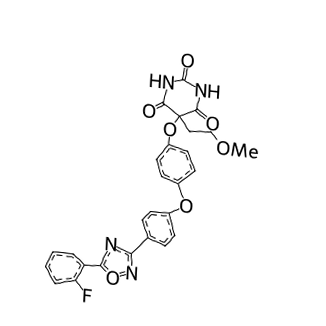 COCCC1(Oc2ccc(Oc3ccc(-c4noc(-c5ccccc5F)n4)cc3)cc2)C(=O)NC(=O)NC1=O